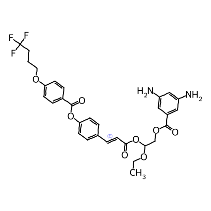 CCOC(COC(=O)c1cc(N)cc(N)c1)OC(=O)/C=C/c1ccc(OC(=O)c2ccc(OCCCC(F)(F)F)cc2)cc1